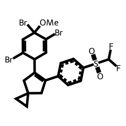 COC1(Br)C=C(Br)C(C2=C(c3ccc(S(=O)(=O)C(F)F)cc3)CC3(CC3)C2)C=C1Br